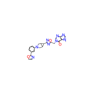 Cn1cnc2ncn(Cc3nc(C4C5CN(c6cccc(-c7ncco7)c6)CC54)no3)c(=O)c21